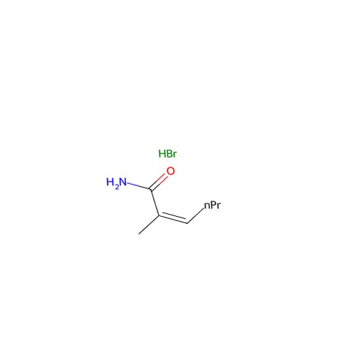 Br.CCCC=C(C)C(N)=O